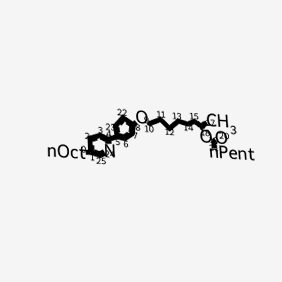 CCCCCCCCc1ccc(-c2ccc(OCCCCCCC(C)OC(=O)CCCCC)cc2)nc1